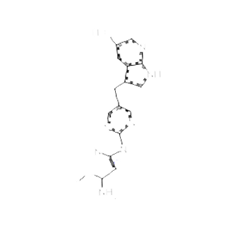 Cc1cnc2[nH]cc(Cc3cnc(N/C(N)=C/C(N)OC(C)C)nc3)c2c1